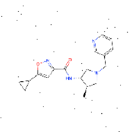 C[C@@H]1CN(Cc2cccnc2)C[C@H]1NC(=O)c1cc(C2CC2)on1